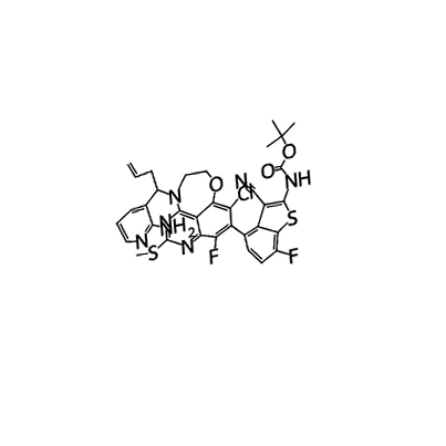 C=CCC(c1cccnc1N)N1CCOc2c(Cl)c(-c3ccc(F)c4sc(NC(=O)OC(C)(C)C)c(C#N)c34)c(F)c3nc(SC)nc1c23